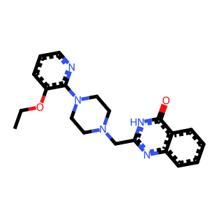 CCOc1cccnc1N1CCN(Cc2nc3ccccc3c(=O)[nH]2)CC1